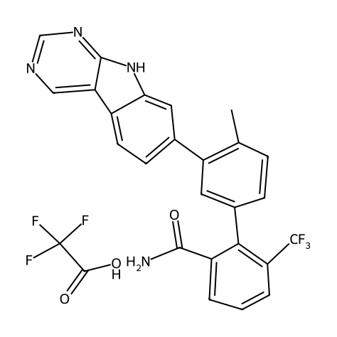 Cc1ccc(-c2c(C(N)=O)cccc2C(F)(F)F)cc1-c1ccc2c(c1)[nH]c1ncncc12.O=C(O)C(F)(F)F